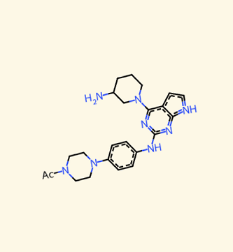 CC(=O)N1CCN(c2ccc(Nc3nc(N4CCCC(N)C4)c4cc[nH]c4n3)cc2)CC1